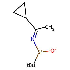 C/C(=N\[S+]([O-])C(C)(C)C)C1CC1